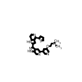 CN(C)CCOc1cncc(-c2cc3c(-c4cc5c(-c6cccs6)nccc5[nH]4)n[nH]c3cn2)c1